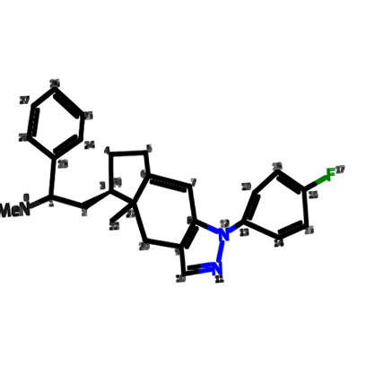 CNC(C[C@H]1CCC2=Cc3c(cnn3-c3ccc(F)cc3)CC21C)c1ccccc1